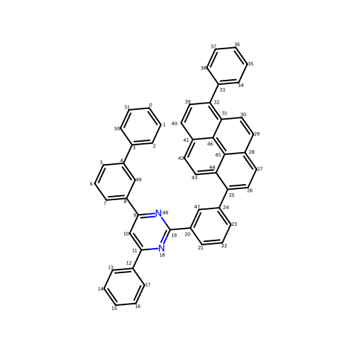 c1ccc(-c2cccc(-c3cc(-c4ccccc4)nc(-c4cccc(-c5ccc6ccc7c(-c8ccccc8)ccc8ccc5c6c87)c4)n3)c2)cc1